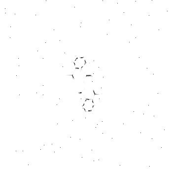 CC(=O)c1ccccc1C(=O)OOC(=O)c1ccccc1C(C)=O